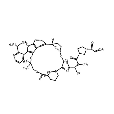 C=CC(=O)N1CC[C@H](C(=O)N(C)[C@H](C(=O)N[C@H]2CN3CC[C@H](C3)c3ccc4c(c3)c(c(-c3cccnc3[C@H](C)OC)n4CC)CC(C)(C)COC(=O)[C@@H]3CCCN(N3)C2=O)C(C)C)C1